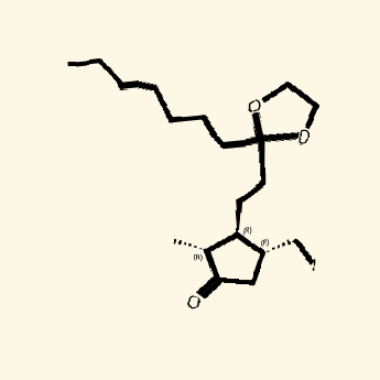 CCCCCCCC1(CC[C@H]2[C@H](CI)CC(=O)[C@@H]2C)OCCO1